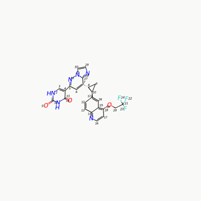 O=c1[nH]cc(-c2cc([C@@H]3C[C@H]3c3ccc4nccc(OCC(F)(F)F)c4c3)c3nccn3n2)c(=O)[nH]1